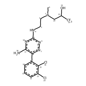 CN(CCNc1nnc(-c2cccc(Cl)c2Cl)c(N)n1)CC(O)C(F)(F)F